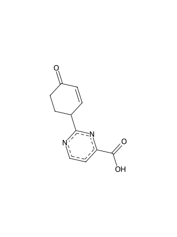 O=C1C=CC(c2nccc(C(=O)O)n2)CC1